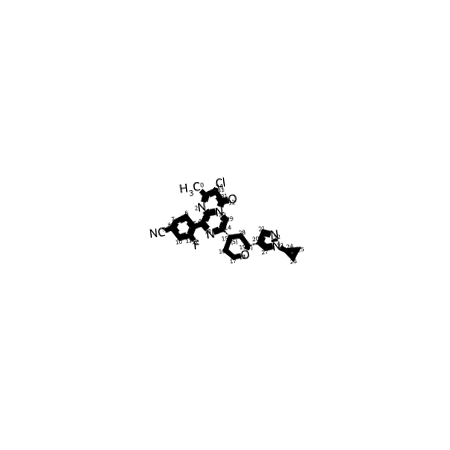 Cc1nc2c(-c3ccc(C#N)cc3F)nc([C@H]3CCO[C@@H](c4cnn(C5CC5)c4)C3)cn2c(=O)c1Cl